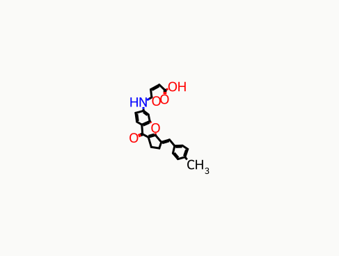 Cc1ccc(C=C2CCc3c2oc2cc(NC(=O)/C=C\C(=O)O)ccc2c3=O)cc1